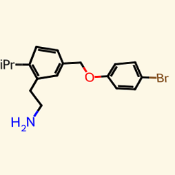 CC(C)c1ccc(COc2ccc(Br)cc2)cc1CCN